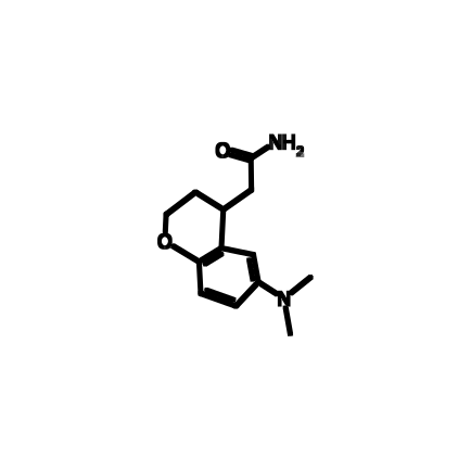 CN(C)c1ccc2c(c1)C(CC(N)=O)CCO2